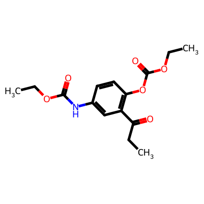 CCOC(=O)Nc1ccc(OC(=O)OCC)c(C(=O)CC)c1